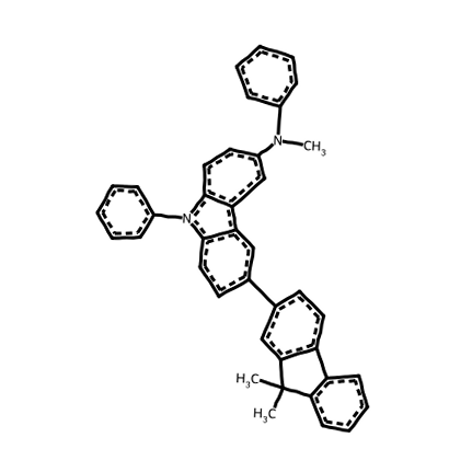 CN(c1ccccc1)c1ccc2c(c1)c1cc(-c3ccc4c(c3)C(C)(C)c3ccccc3-4)ccc1n2-c1ccccc1